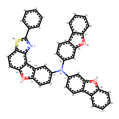 c1ccc(-c2nc3c(ccc4oc5ccc(N(c6ccc7c(c6)oc6ccccc67)c6ccc7c(c6)oc6ccccc67)cc5c43)s2)cc1